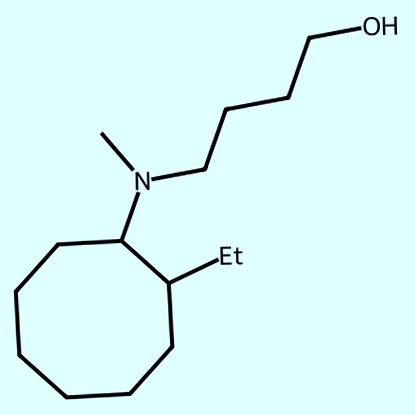 CCC1CCCCCCC1N(C)CCCCO